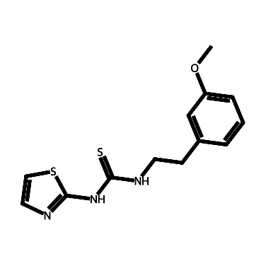 COc1cccc(CCNC(=S)Nc2nccs2)c1